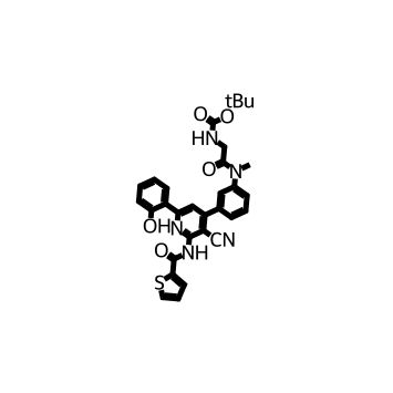 CN(C(=O)CNC(=O)OC(C)(C)C)c1cccc(-c2cc(-c3ccccc3O)nc(NC(=O)c3cccs3)c2C#N)c1